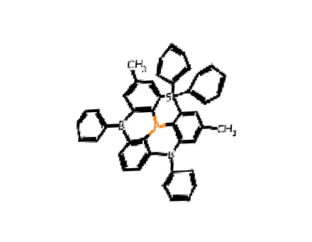 Cc1cc2c3c(c1)[Si](c1ccccc1)(c1ccccc1)c1cc(C)cc4c1P3c1c(cccc1B4c1ccccc1)B2c1ccccc1